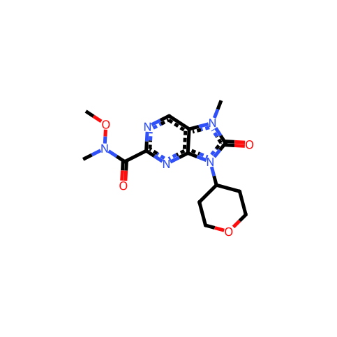 CON(C)C(=O)c1ncc2c(n1)n(C1CCOCC1)c(=O)n2C